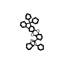 c1ccc(-n2c(-c3cccc4c3Oc3cc5c(cc3O4)C(c3ccccc3)(c3ccccc3)c3ccccc3-5)nc3ccccc32)cc1